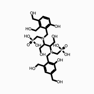 O=P(O)(O)CN(Cc1c(O)cc(CO)cc1CO)C(CO)C(CO)N(Cc1c(O)ccc(CO)c1CO)CP(=O)(O)O